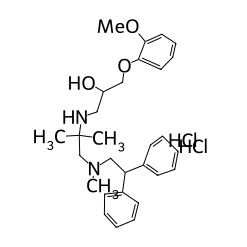 COc1ccccc1OCC(O)CNC(C)(C)CN(C)CC(c1ccccc1)c1ccccc1.Cl.Cl